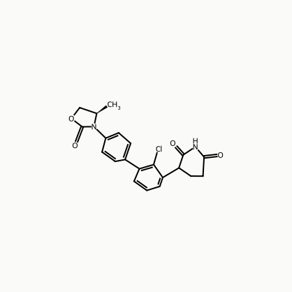 C[C@@H]1COC(=O)N1c1ccc(-c2cccc(C3CCC(=O)NC3=O)c2Cl)cc1